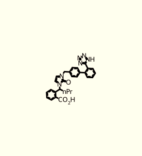 CCCC(c1ccccc1C(=O)O)n1ccn(Cc2ccc(-c3ccccc3-c3nnn[nH]3)cc2)c1=O